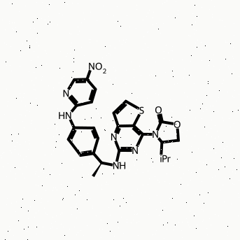 CC(C)C1COC(=O)N1c1nc(N[C@@H](C)c2ccc(Nc3ccc([N+](=O)[O-])cn3)cc2)nc2ccsc12